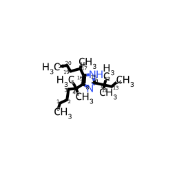 CCCCC(C)(C)c1nc(C(C)(C)CC)[nH]c1C(C)CCC